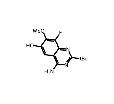 COc1c(O)cc2c(N)nc(C(C)(C)C)nc2c1F